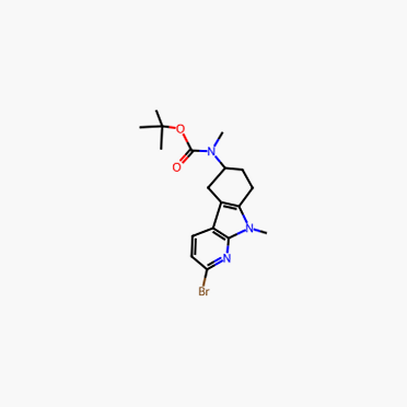 CN(C(=O)OC(C)(C)C)C1CCc2c(c3ccc(Br)nc3n2C)C1